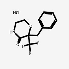 Cl.O=C1NCCOC1(Cc1ccccc1)C(F)(F)F